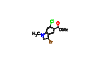 COC(=O)c1cc2c(Br)cn(C)c2cc1Cl